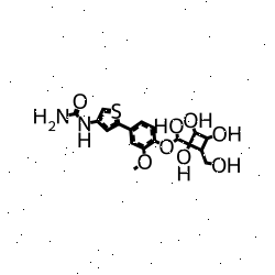 COc1cc(-c2cc(NC(N)=O)cs2)ccc1OC(O)C1(O)C(O)C(O)C1CO